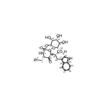 CC(C)C[C@@H]1NP(=O)(O[C@@H]2O[C@@H](C)[C@H](O)[C@@H](O)[C@H]2O)ON([C@@H](Cc2c[nH]c3ccccc23)C(=O)O)C1=O